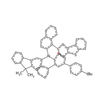 CC(C)(C)c1ccc(-c2ccc(N(c3ccc4c(c3)-c3ccccc3C4(C)C)c3ccc4ccccc4c3-c3ccc4sc5ccccc5c4c3)c(-c3ccccc3)c2)cc1